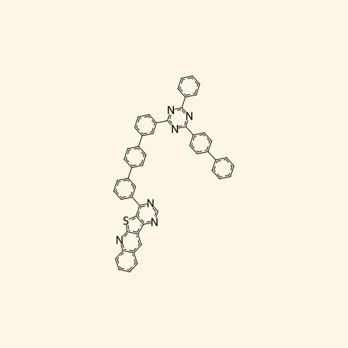 c1ccc(-c2ccc(-c3nc(-c4ccccc4)nc(-c4cccc(-c5ccc(-c6cccc(-c7ncnc8c7sc7nc9ccccc9cc78)c6)cc5)c4)n3)cc2)cc1